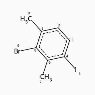 Cc1c[c]c(I)c(C)c1Br